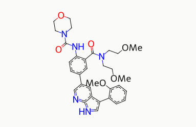 COCCN(CCOC)C(=O)c1cc(-c2cnc3[nH]cc(-c4ccccc4OC)c3c2)ccc1NC(=O)N1CCOCC1